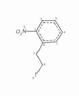 O=[N+]([O-])c1ccccc1CCI